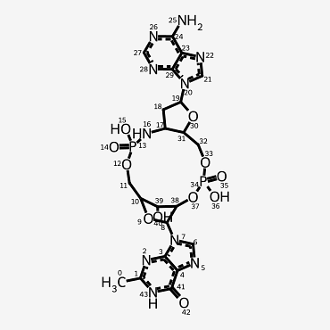 Cc1nc2c(ncn2C2OC3COP(=O)(O)NC4CC(n5cnc6c(N)ncnc65)OC4COP(=O)(O)OC2C3O)c(=O)[nH]1